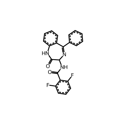 O=C(NC1N=C(c2ccccc2)c2ccccc2NC1=O)c1c(F)cccc1F